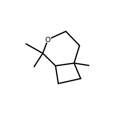 CC12CCOC(C)(C)C1CC2